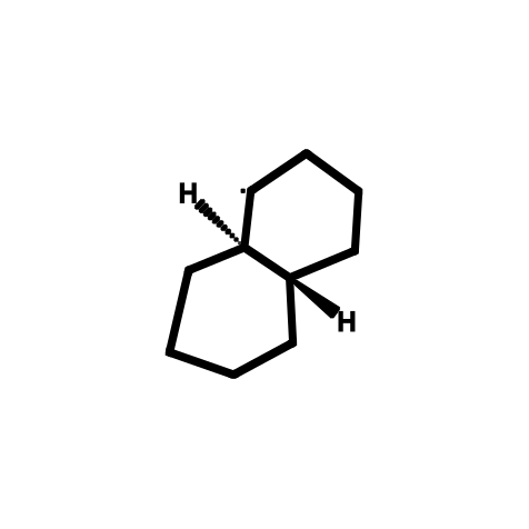 [CH]1CCC[C@@H]2CCCC[C@@H]12